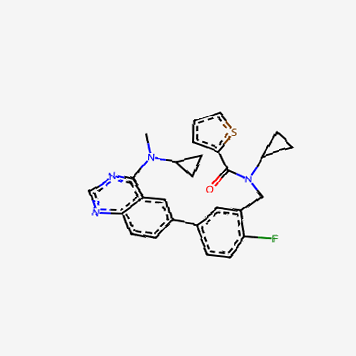 CN(c1ncnc2ccc(-c3ccc(F)c(CN(C(=O)c4cccs4)C4CC4)c3)cc12)C1CC1